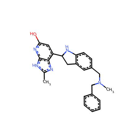 Cc1nc2c(C3Cc4cc(CN(C)Cc5ccccc5)ccc4N3)cc(O)nc2[nH]1